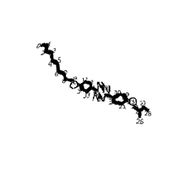 CCCCCCCCCCOc1ccc(-c2nnc(-c3ccc(OCC(C)CC)cc3)nn2)cc1